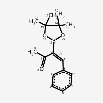 CC(=O)/C(=C\c1ccccc1)B1OC(C)(C)C(C)(C)O1